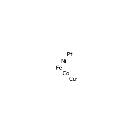 [Co].[Cu].[Fe].[Ni].[Pt]